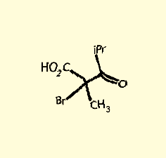 CC(C)C(=O)C(C)(Br)C(=O)O